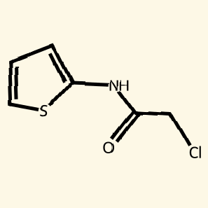 O=C(CCl)Nc1cccs1